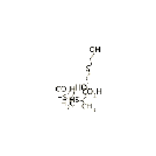 CC(S)CC(=O)O.CC(S)CC(=O)O.OCCCSCCCO